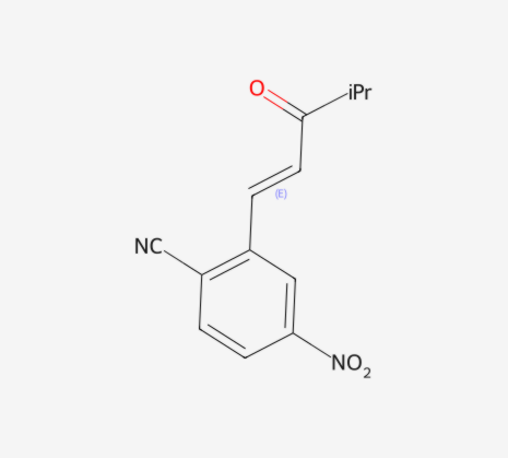 CC(C)C(=O)/C=C/c1cc([N+](=O)[O-])ccc1C#N